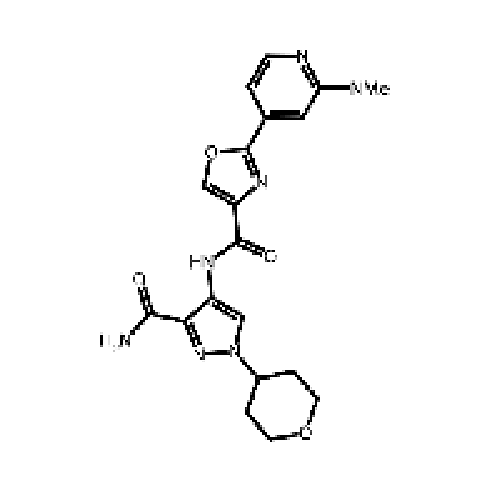 CNc1cc(-c2nc(C(=O)Nc3cn(C4CCOCC4)nc3C(N)=O)co2)ccn1